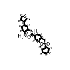 COP(=O)(Cc1ccc(C(=O)Nc2cc(-c3ccsc3)ccc2N)cn1)c1ccccc1